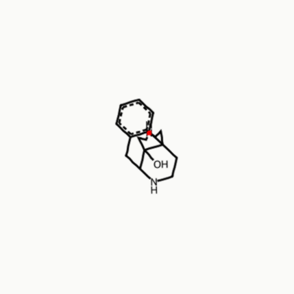 OC12CCNCCC13CCNC2Cc1ccccc13